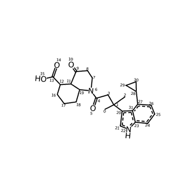 CC(C)(CC(=O)N1CCC(=O)C2C(C(=O)O)CCCC21)c1c[nH]c2cccc(C3CC3)c12